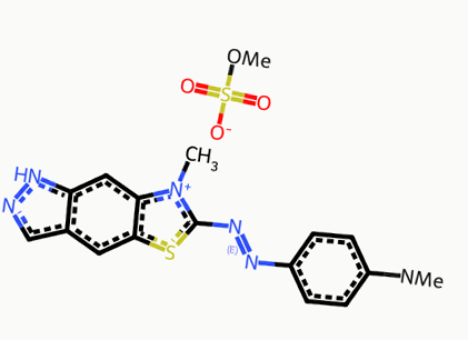 CNc1ccc(/N=N/c2sc3cc4cn[nH]c4cc3[n+]2C)cc1.COS(=O)(=O)[O-]